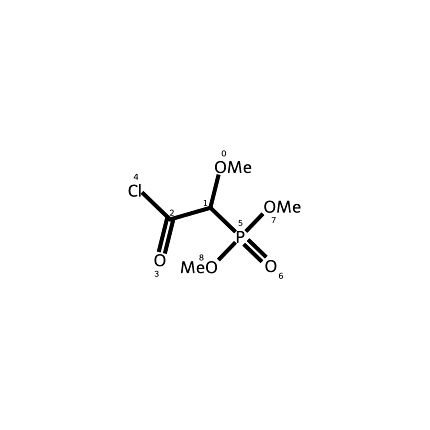 COC(C(=O)Cl)P(=O)(OC)OC